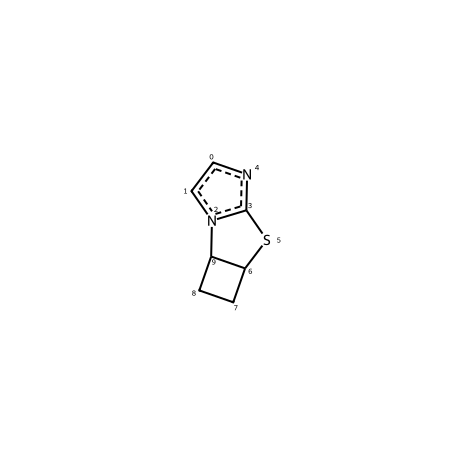 c1cn2c(n1)SC1CCC12